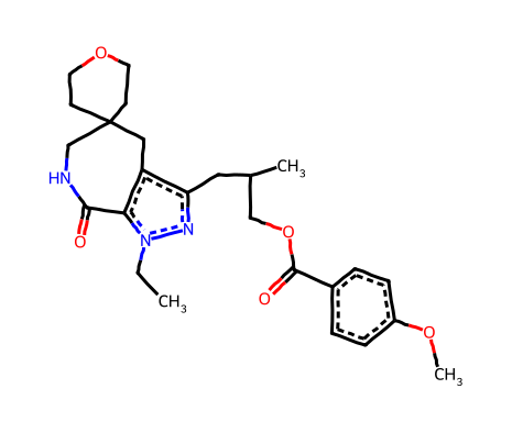 CCn1nc(CC(C)COC(=O)c2ccc(OC)cc2)c2c1C(=O)NCC1(CCOCC1)C2